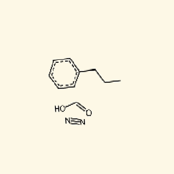 CCCc1ccccc1.N#N.O=CO